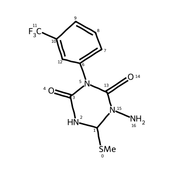 CSC1NC(=O)N(c2cccc(C(F)(F)F)c2)C(=O)N1N